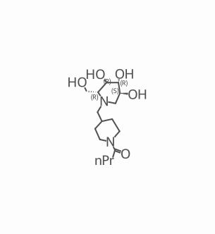 CCCC(=O)N1CCC(CN2C[C@H](O)[C@@H](O)[C@H](O)[C@H]2CO)CC1